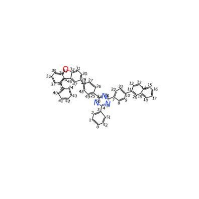 c1ccc(-c2nc(-c3ccc(-c4ccc5ccccc5c4)cc3)nc(-c3ccc(-c4ccc5oc6cccc(-c7ccccc7)c6c5c4)cc3)n2)cc1